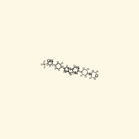 CC(C)(C)c1cc(-c2ccc(-c3cn4c(n3)sc3nc([C@H]5CC[C@@H](N6CCOCC6)CC5)ncc34)cc2)no1